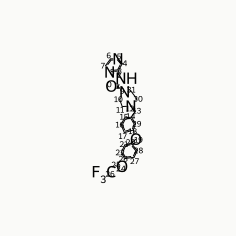 O=C(Nc1cnccn1)N1CCN(Cc2cccc(Oc3ccc(OCC(F)(F)F)cc3)c2)CC1